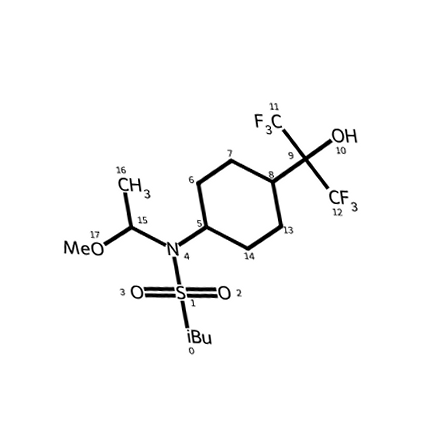 CCC(C)S(=O)(=O)N(C1CCC(C(O)(C(F)(F)F)C(F)(F)F)CC1)C(C)OC